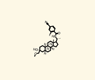 COC[C@@]1(O)CC[C@H]2[C@H](CC[C@@H]3[C@@H]2CC[C@]2(C)C([C@@H](C)NC(=O)c4ccc(C#N)cc4F)CC[C@@H]32)C1